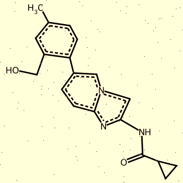 Cc1ccc(-c2ccc3nc(NC(=O)C4CC4)cn3c2)c(CO)c1